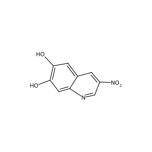 O=[N+]([O-])c1cnc2cc(O)c(O)cc2c1